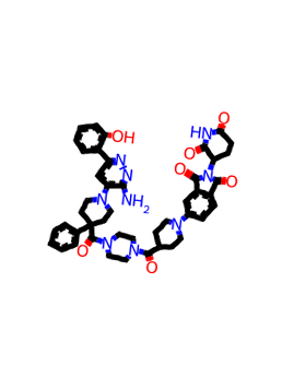 Nc1nnc(-c2ccccc2O)cc1N1CCC(C(=O)N2CCN(C(=O)C3CCN(c4ccc5c(c4)C(=O)N(C4CCC(=O)NC4=O)C5=O)CC3)CC2)(c2ccccc2)CC1